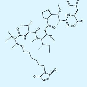 CC[C@H](C)C([C@@H](CC(=O)N1CCC[C@H]1[C@H](OC)[C@@H](C)C(=O)N[C@@H](Cc1ccccc1)C(=O)O)OC)N(C)C(=O)[C@@H](NC(=O)[C@H](C(C)C)N(C)OCCCCCCN1C(=O)C=CC1=O)C(C)C